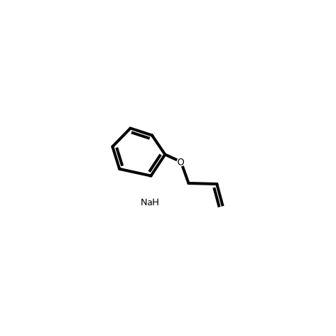 C=CCOc1ccccc1.[NaH]